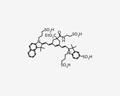 CCOC(=O)C1(C(=O)NCCS(=O)(=O)O)CC(/C=C/C2=[N+](CCCS(=O)(=O)O)c3ccc(S(=O)(=O)O)cc3C2(C)C)=CC(=C/C=C2/N(CCCS(=O)(=O)O)c3ccc4ccccc4c3C2(C)C)/C1